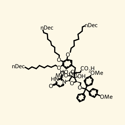 CCCCCCCCCCCCCCCCCCOc1cc(CC(CC(=O)O)(C(=O)O)[C@]2(O)[C@@H](COC(c3ccccc3)(c3ccc(OC)cc3)c3ccc(OC)cc3)O[C@@H](n3ccc(=O)[nH]c3=O)[C@@]2(O)OC)cc(OCCCCCCCCCCCCCCCCCC)c1OCCCCCCCCCCCCCCCCCC